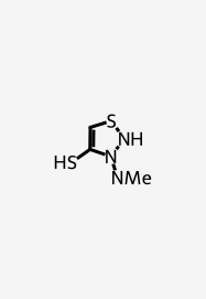 CNN1NSC=C1S